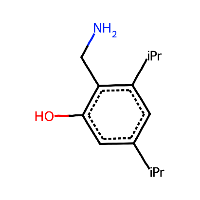 CC(C)c1cc(O)c(CN)c(C(C)C)c1